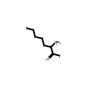 CCCCC[CH]([AlH2])C(C)=O